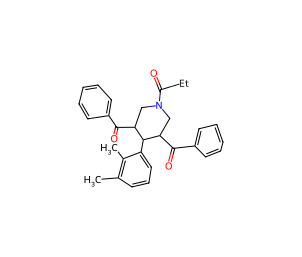 CCC(=O)N1CC(C(=O)c2ccccc2)C(c2cccc(C)c2C)C(C(=O)c2ccccc2)C1